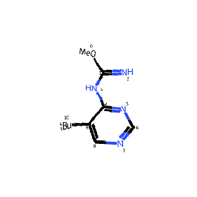 COC(=N)Nc1ncncc1C(C)(C)C